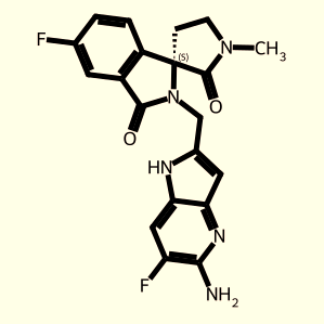 CN1CC[C@@]2(C1=O)c1ccc(F)cc1C(=O)N2Cc1cc2nc(N)c(F)cc2[nH]1